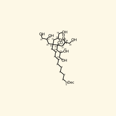 CCCCCCCCCCCCCCCCCCCC(CC(O)CO)(CC(O)CO)C(CC(O)CO)(CC(O)CO)C(=O)O